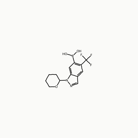 OB(O)c1cc2c(cnn2C2CCCCO2)cc1C(F)(F)F